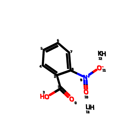 O=C(O)c1ccccc1[N+](=O)[O-].[KH].[LiH]